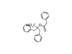 O=C(Cc1ccccc1)OC(Cc1ccccc1)(Cc1ccccc1)C(=O)O